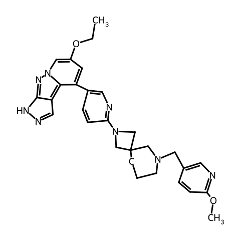 CCOc1cc(-c2ccc(N3CC4(CCCN(Cc5ccc(OC)nc5)C4)C3)nc2)c2c3cn[nH]c3nn2c1